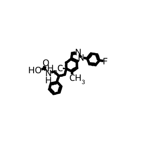 CC1=Cc2c(cnn2-c2ccc(F)cc2)C[C@@]1(C)CC(CNC(=O)O)c1ccccc1